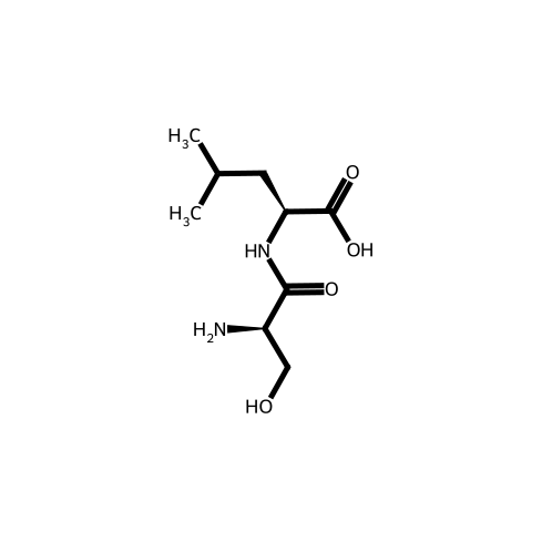 CC(C)C[C@H](NC(=O)[C@H](N)CO)C(=O)O